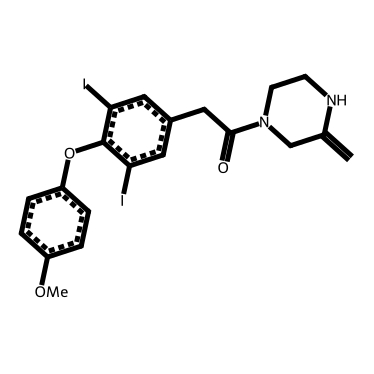 C=C1CN(C(=O)Cc2cc(I)c(Oc3ccc(OC)cc3)c(I)c2)CCN1